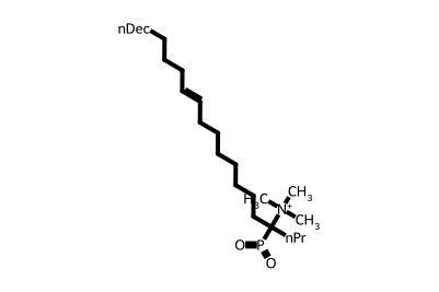 CCCCCCCCCCCCCC=CCCCCCCCC(CCC)(P(=O)=O)[N+](C)(C)C